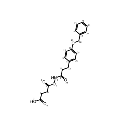 O=C(O)CCC(=O)ONC(=O)CCc1ccc(OCc2ccccc2)cc1